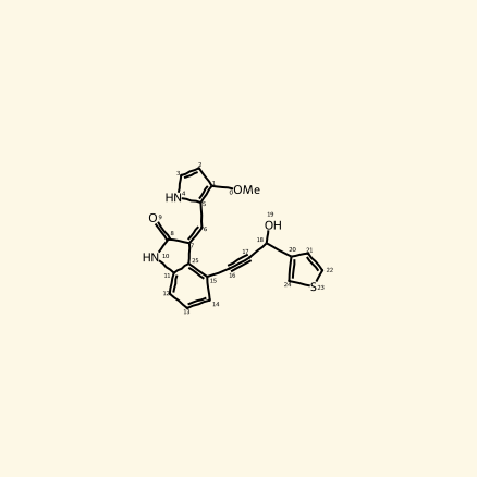 COc1cc[nH]c1/C=C1\C(=O)Nc2cccc(C#CC(O)c3ccsc3)c21